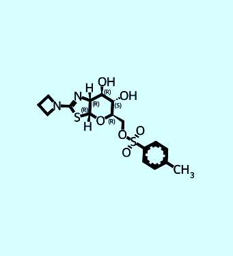 Cc1ccc(S(=O)(=O)OC[C@H]2O[C@@H]3SC(N4CCC4)=N[C@@H]3[C@@H](O)[C@@H]2O)cc1